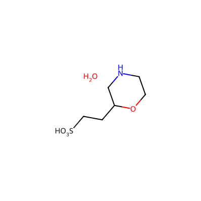 O.O=S(=O)(O)CCC1CNCCO1